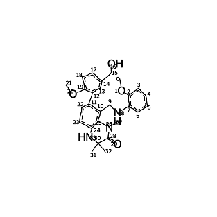 COc1ccccc1NCc1c(-c2cc(CO)ccc2OC)ccc2c1N(C)C(=O)C(C)(C)N2